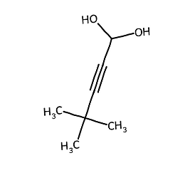 CC(C)(C)C#CC(O)O